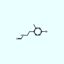 Cc1cc(Br)ccc1CCNC=O